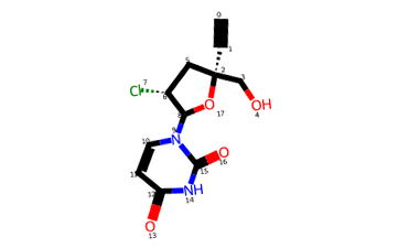 C#C[C@@]1(CO)C[C@@H](Cl)C(n2ccc(=O)[nH]c2=O)O1